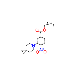 CCOC(=O)c1ccc([N+](=O)[O-])c(N2CCC3(CC2)CC3)c1